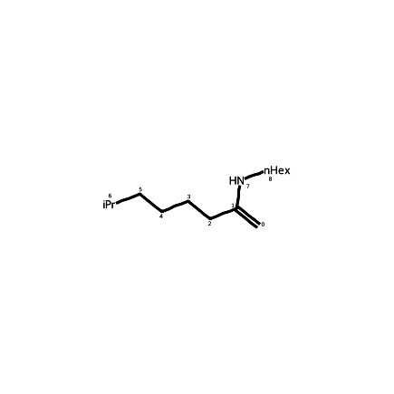 C=C(CCCCC(C)C)NCCCCCC